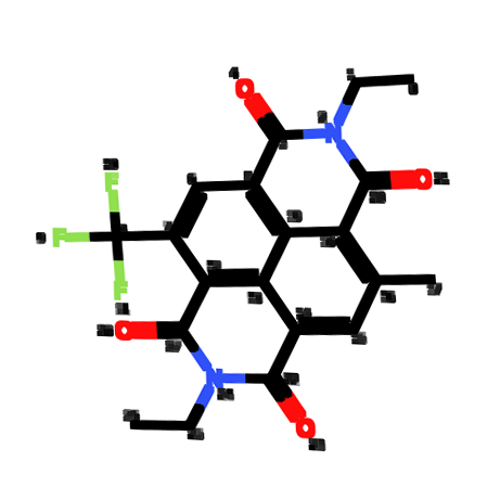 CCN1C(=O)c2cc(C(F)(F)F)c3c4c(cc(C)c(c24)C1=O)C(=O)N(CC)C3=O